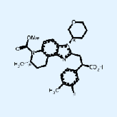 COC(=O)N1c2ccc3c(nc(CC(C(=O)O)c4ccc(C)c(F)c4)n3[C@@H]3CCCOC3)c2CC[C@@H]1C